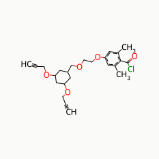 C#CCOC1CC(COCCOc2cc(C)c(C(=O)Cl)c(C)c2)CC(OCC#C)C1